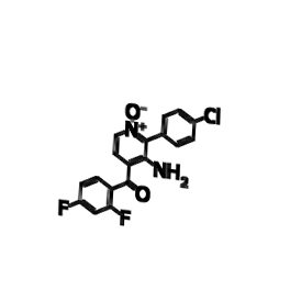 Nc1c(C(=O)c2ccc(F)cc2F)cc[n+]([O-])c1-c1ccc(Cl)cc1